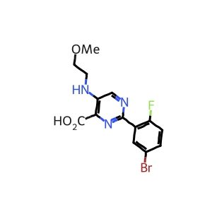 COCCNc1cnc(-c2cc(Br)ccc2F)nc1C(=O)O